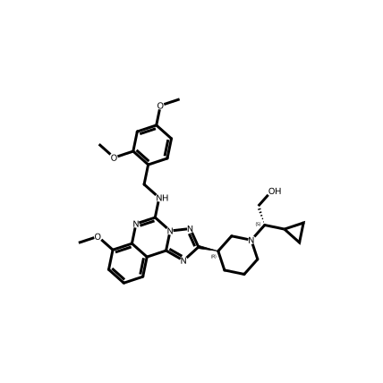 COc1ccc(CNc2nc3c(OC)cccc3c3nc([C@@H]4CCCN([C@H](CO)C5CC5)C4)nn23)c(OC)c1